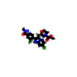 CNC(=O)c1ccc(-c2nc3cc(Cl)ccn3c2C[C@H]2CN(C(=O)OC)CCO2)c(F)c1